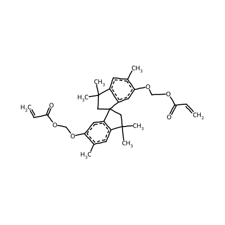 C=CC(=O)OCOc1cc2c(cc1C)C(C)(C)CC21CC(C)(C)c2cc(C)c(OCOC(=O)C=C)cc21